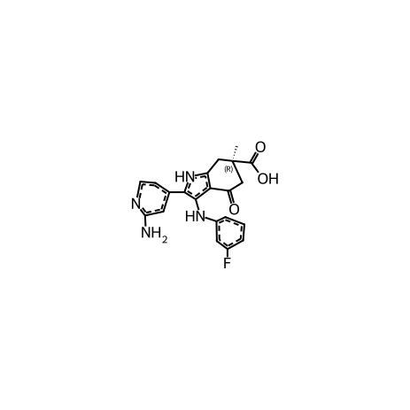 C[C@]1(C(=O)O)CC(=O)c2c([nH]c(-c3ccnc(N)c3)c2Nc2cccc(F)c2)C1